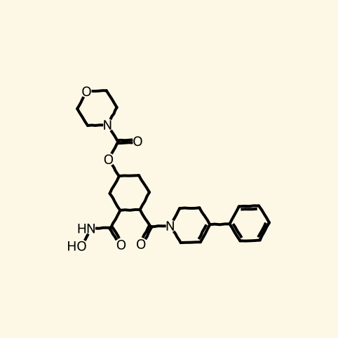 O=C(NO)C1CC(OC(=O)N2CCOCC2)CCC1C(=O)N1CC=C(c2ccccc2)CC1